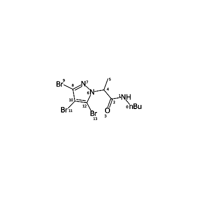 CCCCNC(=O)C(C)n1nc(Br)c(Br)c1Br